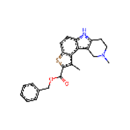 Cc1c(C(=O)OCc2ccccc2)sc2ccc3[nH]c4c(c3c12)CN(C)CC4